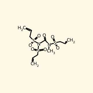 C=CCS(=O)(=O)N(C)C(=O)N(S(=O)(=O)CC=C)S(=O)(=O)CC=C